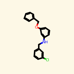 Clc1cccc(CNc2cccc(OCc3ccccc3)c2)c1